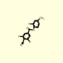 Cc1ccc(OC(=O)c2cc(F)c(C#N)c(F)c2)c(F)c1